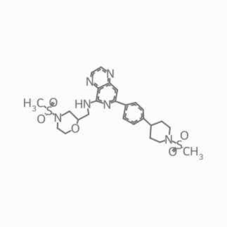 CS(=O)(=O)N1CCC(c2ccc(-c3cc4nccnc4c(NCC4CN(S(C)(=O)=O)CCO4)n3)cc2)CC1